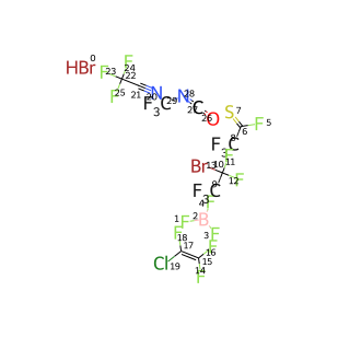 Br.FB(F)F.FC(=S)C(F)(F)F.FC(F)(F)C(F)(F)Br.FC(F)=C(F)Cl.N#CC(F)(F)F.O=C=NC(F)(F)F